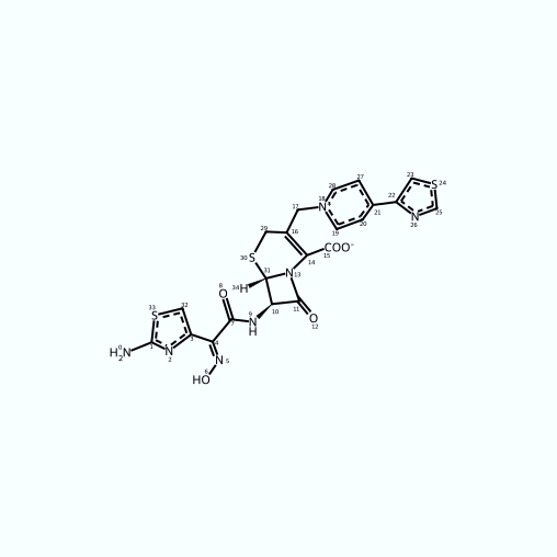 Nc1nc(C(=NO)C(=O)N[C@@H]2C(=O)N3C(C(=O)[O-])=C(C[n+]4ccc(-c5cscn5)cc4)CS[C@@H]23)cs1